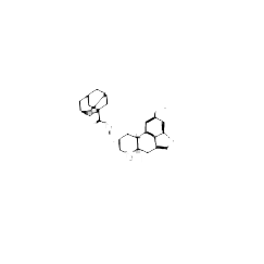 CN1C[C@H](CNC(=O)C23CC4CC(CC(C4)C2)C3)C[C@@H]2c3cc(C(C)(C)C)cc4[nH]cc(c34)C[C@H]21